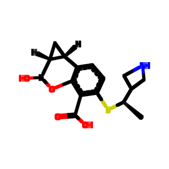 C[C@@H](Sc1ccc2c(c1C(=O)O)OB(O)[C@@H]1C[C@H]21)C1CNC1